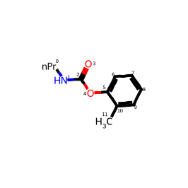 CCCNC(=O)Oc1ccccc1C